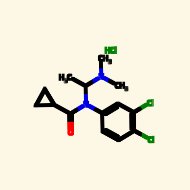 CC(N(C)C)N(C(=O)C1CC1)c1ccc(Cl)c(Cl)c1.Cl